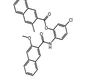 COc1cc2ccccc2cc1C(=O)Nc1ccc(Cl)cc1OC(=O)c1cc2ccccc2cc1C